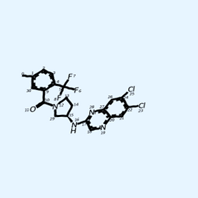 Cc1ccc(C(F)(F)F)c(C(=O)N2CC[C@@H](Nc3cnc4cc(Cl)c(Cl)cc4n3)C2)c1